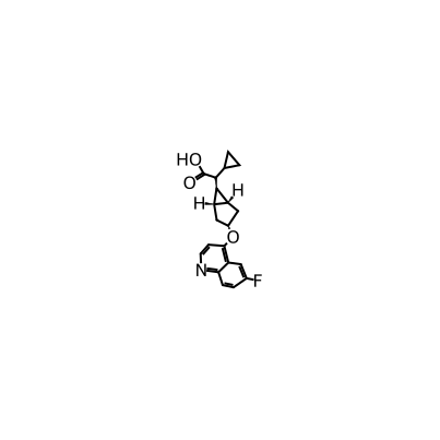 O=C(O)C(C1CC1)[C@H]1[C@@H]2C[C@H](Oc3ccnc4ccc(F)cc34)C[C@@H]21